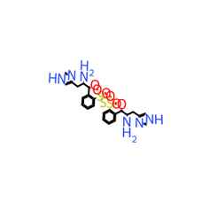 N[C@@H](Cc1c[nH]cn1)C(=O)c1ccccc1S(=O)(=O)SS(=O)(=O)c1ccccc1C(=O)[C@@H](N)Cc1c[nH]cn1